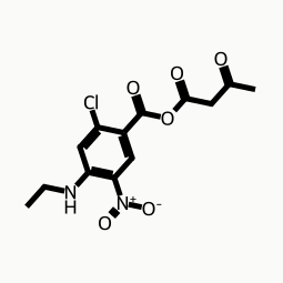 CCNc1cc(Cl)c(C(=O)OC(=O)CC(C)=O)cc1[N+](=O)[O-]